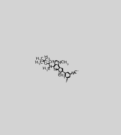 [C-]#[N+]c1cc(F)cc(-c2cc3c4c(ncn4C)c(N(C)C(=O)OC(C)(C)C)nc3n2C)c1